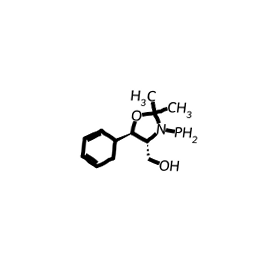 CC1(C)O[C@H](C2C=CC=CC2)[C@@H](CO)N1P